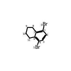 Brc1ccc(Br)c2c1CCCC2